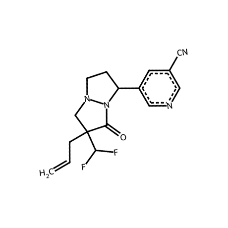 C=CCC1(C(F)F)CN2CCC(c3cncc(C#N)c3)N2C1=O